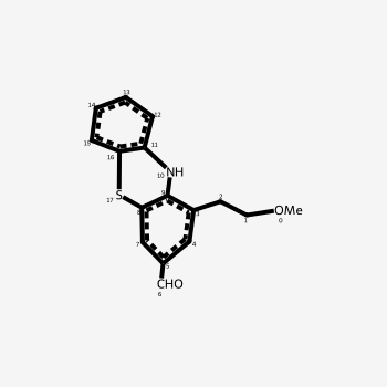 COCCc1cc(C=O)cc2c1Nc1ccccc1S2